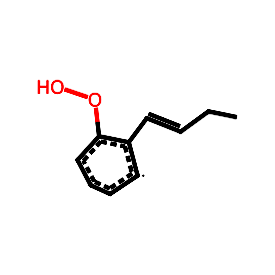 CCC=Cc1[c]cccc1OO